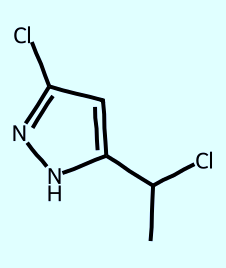 CC(Cl)c1cc(Cl)n[nH]1